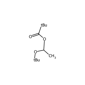 CC(OC(=O)C(C)(C)C)OC(C)(C)C